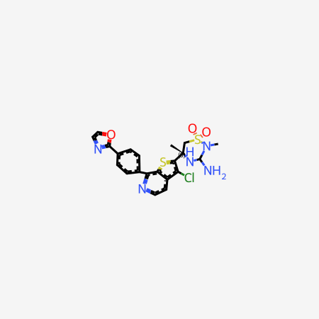 CN1C(N)N[C@](C)(c2sc3c(-c4ccc(-c5ncco5)cc4)nccc3c2Cl)CS1(=O)=O